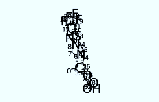 Cc1cc(CN2CCCN(c3nc4cc(F)c(C(F)(F)F)cc4s3)CC2)cc(OCC(=O)O)c1